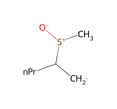 [CH2]C(CCC)[S+](C)[O-]